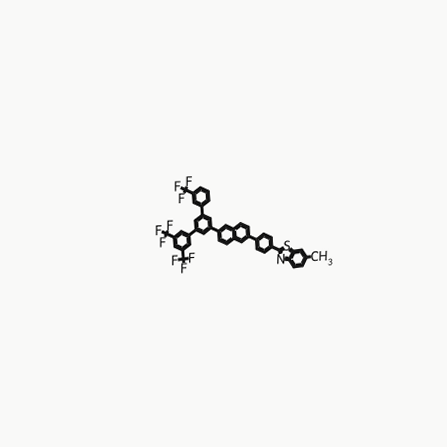 Cc1ccc2nc(-c3ccc(-c4ccc5cc(-c6cc(-c7cccc(C(F)(F)F)c7)cc(-c7cc(C(F)(F)F)cc(C(F)(F)F)c7)c6)ccc5c4)cc3)sc2c1